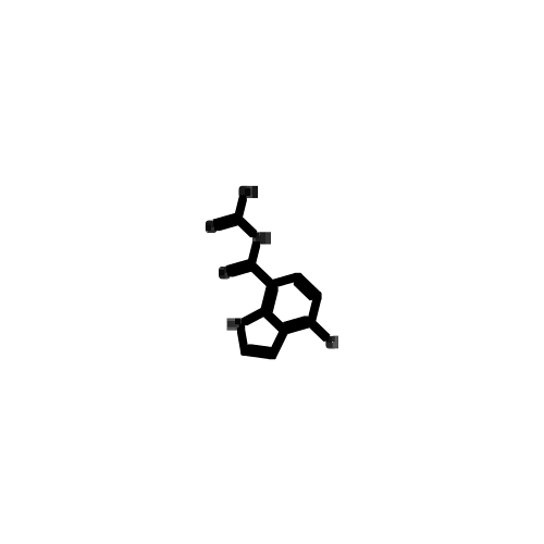 O=C(O)NC(=O)c1ccc(Cl)c2cc[nH]c12